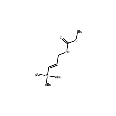 CCC[CH2][Sn](/[CH]=C/CNC(=O)OC(C)(C)C)([CH2]CCC)[CH2]CCC